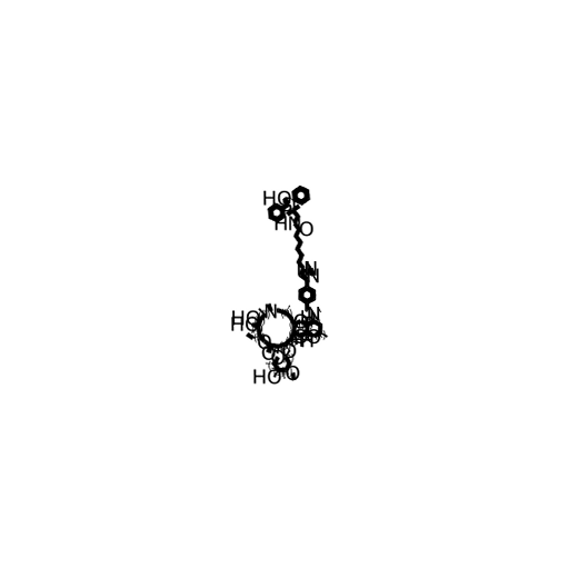 CC[C@H]1OC(=O)[C@H](C)[C@@H](O[C@H]2C[C@@](C)(OC)[C@@H](O)[C@H](C)O2)[C@H](C)[C@H]2O[C@@H]3O[C@H](C)C[C@H](N(C)Cc4ccc(-c5cn(CCCCCC(=O)NCC(C)(C)[Si](O)(c6ccccc6)c6ccccc6)nn5)cc4)[C@H]3O[C@]2(C)C[C@@H](C)CN(C)[C@H](C)[C@@H](O)[C@]1(C)O